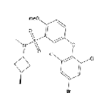 COc1ccc(Oc2c(Cl)cc(Br)cc2Cl)cc1S(=O)(=O)N(C)[C@H]1C[C@H](C)C1